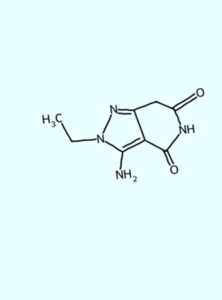 CCn1nc2c(c1N)C(=O)NC(=O)C2